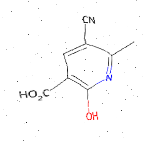 Cc1nc(O)c(C(=O)O)cc1C#N